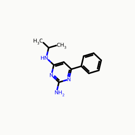 CC(C)Nc1cc(-c2ccccc2)nc(N)n1